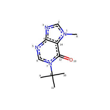 Cn1cnc2ncn(C(C)(C)C)c(=O)c21